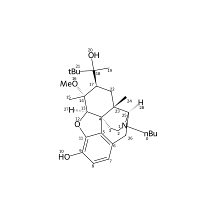 CCCCN1CC[C@]23c4c5ccc(O)c4O[C@H]2[C@](C)(OC)[C@@H](C(C)(O)C(C)(C)C)C[C@]3(C)[C@H]1C5